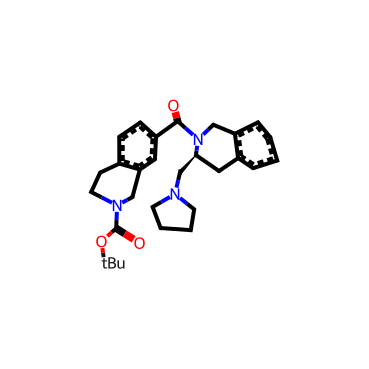 CC(C)(C)OC(=O)N1CCc2ccc(C(=O)N3Cc4ccccc4C[C@H]3CN3CCCC3)cc2C1